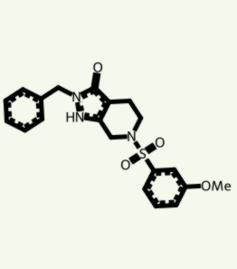 COc1cccc(S(=O)(=O)N2CCc3c([nH]n(Cc4ccccc4)c3=O)C2)c1